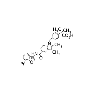 Cc1c(C)n(Cc2ccc(C(C)(C)C(=O)O)cc2)c2ccc(C(=O)N[C@H]3COc4c(C(C)C)cccc43)cc12